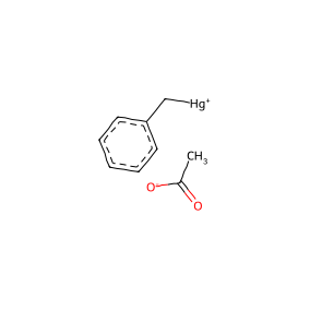 CC(=O)[O-].[Hg+][CH2]c1ccccc1